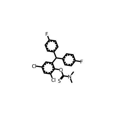 CN(C)C(=S)Oc1c(Cl)cc(Cl)cc1C(c1ccc(F)cc1)c1ccc(F)cc1